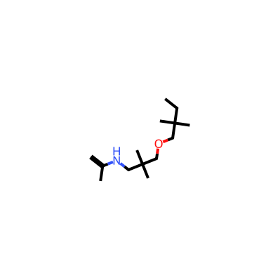 C=C(C)NCC(C)(C)COCC(C)(C)CC